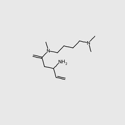 C=CC(N)CC(=C)N(C)CCCCN(C)C